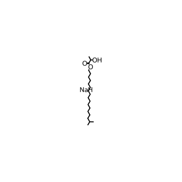 CC(C)CCCCCCCCCCCCCCCOC(=O)C(C)O.[NaH]